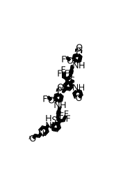 COCCN1CCC(Nc2cccc3c(CC(F)(F)F)c(C#CCNc4ccc(P(C)(=O)Cc5cc(NC6CCOCC6)c6sc(C#CCNc7ccc(P(C)(C)=O)cc7OCF)c(CC(F)(F)F)c6c5)cc4OCF)sc23)CC1